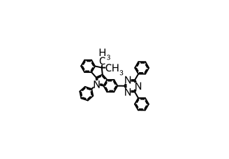 CC1(C)c2ccccc2-c2c1c1cc(-c3nc(-c4ccccc4)nc(-c4ccccc4)n3)ccc1n2-c1ccccc1